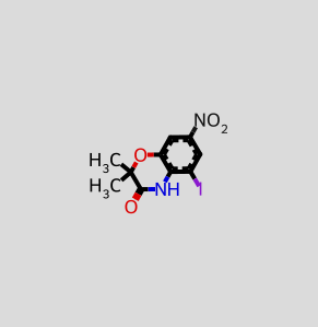 CC1(C)Oc2cc([N+](=O)[O-])cc(I)c2NC1=O